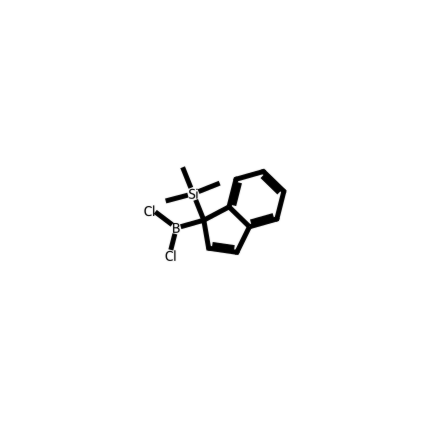 C[Si](C)(C)C1(B(Cl)Cl)C=Cc2ccccc21